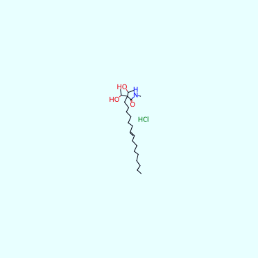 CCCCCCCCC=CCCCCCCC(C(=O)NC)(C(C)O)C(C)O.Cl